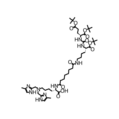 Cc1c[nH]c(CN(CCCC[C@H](NC(=O)CCCCCCC(=O)NCCCC[C@H](NC(=O)N[C@@H](CCC(=O)OC(C)(C)C)C(=O)OC(C)(C)C)C(=O)OC(C)(C)C)C(=O)O)Cc2nc(C)c[nH]2)n1